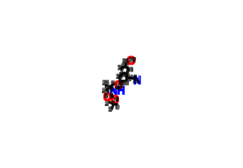 CC(C)(C)OC(=O)NC1(COc2cc(C#N)c3c(c2)CC(C=O)C3)CC1